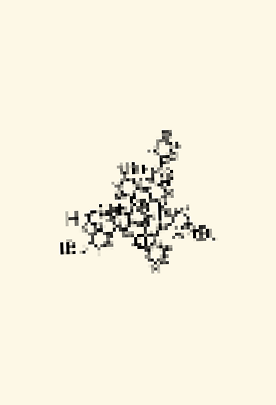 CC(C)(C)c1ccc(N2B3c4cc5cc(-c6ccccc6)oc5cc4-n4c5ccc(C(C)(C)C)cc5c5c6c(oc7ccccc76)c(c3c54)-c3cc4c(cc32)C(C)(C)c2cc(C(C)(C)C)ccc2-4)cc1